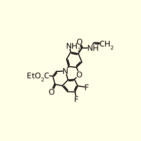 C=CNC(=O)c1cc2c(cc1N)-n1cc(C(=O)OCC)c(=O)c3cc(F)c(F)c(c31)O2